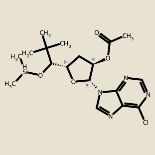 CC(=O)O[C@@H]1C[C@@H](C(O[SiH](C)C)C(C)(C)C)O[C@H]1n1cnc2c(Cl)ncnc21